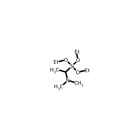 CCO[Si](OCC)(OCC)C(C)N(C)C